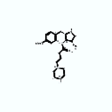 COc1ccc(C[C@H]2NC[C@H](O)[C@H]2OC(=O)CCCN2CCNCC2)cc1